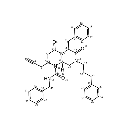 C#CCN1CC(=O)N2[C@@H](Cc3ccccc3)C(=O)N(CCCc3ccccc3)C[C@@H]2N1C(=O)NCc1ccccc1